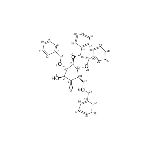 O=C1[C@@H](O)[C@H](OCc2ccccc2)[C@@H](OCc2ccccc2)[C@H](OCc2ccccc2)[C@H]1COCc1ccccc1